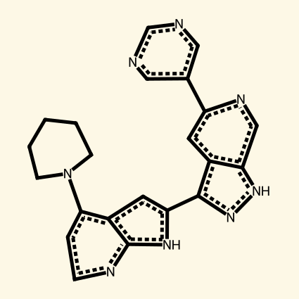 c1ncc(-c2cc3c(-c4cc5c(N6CCCCC6)ccnc5[nH]4)n[nH]c3cn2)cn1